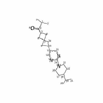 CC(C)C(=O)C1CC2(C1)CC(c1cnc(N3CCC(C(C)C)CC3)nc1)C2